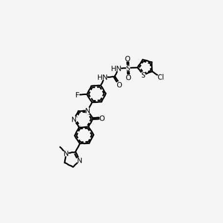 CN1CCN=C1c1ccc2c(=O)n(-c3ccc(NC(=O)NS(=O)(=O)c4ccc(Cl)s4)cc3F)cnc2c1